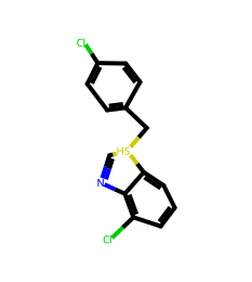 Clc1ccc(C[SH]2C=Nc3c(Cl)cccc32)cc1